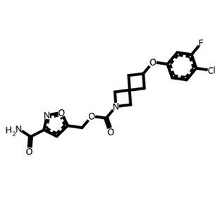 NC(=O)c1cc(COC(=O)N2CC3(CC(Oc4ccc(Cl)c(F)c4)C3)C2)on1